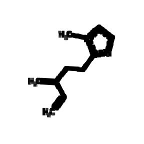 C=CC(=C)CCc1nccn1C